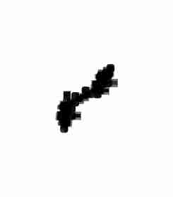 C[C@]12C=CC(=O)C=C1CCC1C2[C@@H](O)C[C@@]2(C)C1CC[C@]2(O)C(=O)COC(=O)CCCC(=O)OCC(=O)[C@@]1(O)CCC2C3CCC4=CC(=O)C=C[C@]4(C)C3[C@@H](O)C[C@@]21C